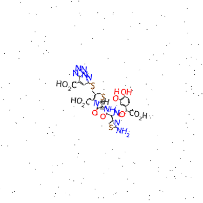 Nc1nc(C(=NOC(C(=O)O)c2ccc(O)c(O)c2)C(=O)N[C@@H]2C(=O)N3C(C(=O)O)=C(CSc4cc(C(=O)O)c5nnnn5n4)CS[C@H]23)cs1